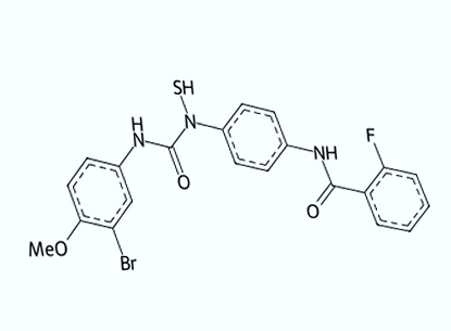 COc1ccc(NC(=O)N(S)c2ccc(NC(=O)c3ccccc3F)cc2)cc1Br